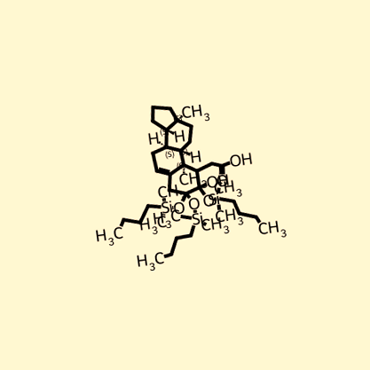 CCCC[Si](C)(C)OC1(O[Si](C)(C)CCCC)CC2=CC[C@H]3[C@@H]4CCC[C@@]4(C)CC[C@@H]3[C@@]2(C)C(CC(=O)O)C1(O)O[Si](C)(C)CCCC